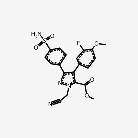 COC(=O)c1c(-c2ccc(OC)c(F)c2)c(-c2ccc(S(N)(=O)=O)cc2)nn1CC#N